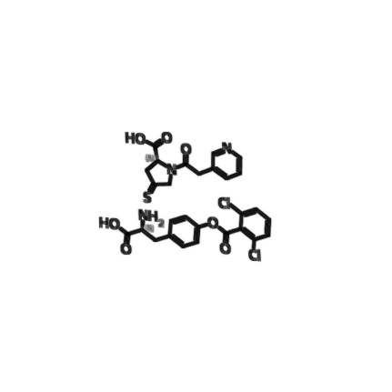 N[C@@H](Cc1ccc(OC(=O)c2c(Cl)cccc2Cl)cc1)C(=O)O.O=C(O)[C@@H]1CC(=S)CN1C(=O)Cc1cccnc1